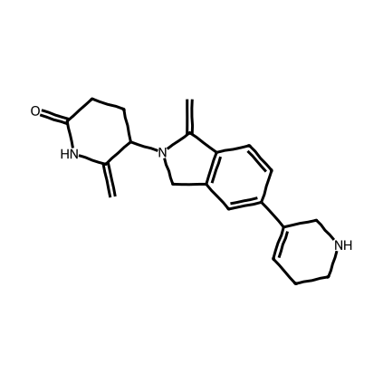 C=C1NC(=O)CCC1N1Cc2cc(C3=CCCNC3)ccc2C1=C